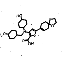 CC1CCC(CN(c2cc(C3=CCC4(CC3)OCCO4)sc2C(=O)O)C2CCC(O)CC2)CC1